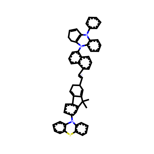 CC1(C)C2=CC(/C=C/c3cccc4c(N5C6=C(C=CCC6)N(c6ccccc6)c6ccccc65)cccc34)CC=C2c2ccc(N3c4ccccc4Sc4ccccc43)cc21